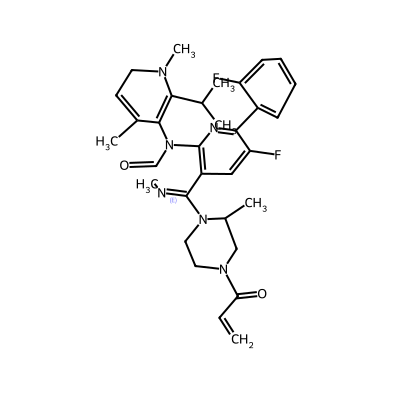 C=CC(=O)N1CCN(/C(=N/C)c2cc(F)c(-c3ccccc3F)nc2N(C=O)C2=C(C(C)C)N(C)CC=C2C)C(C)C1